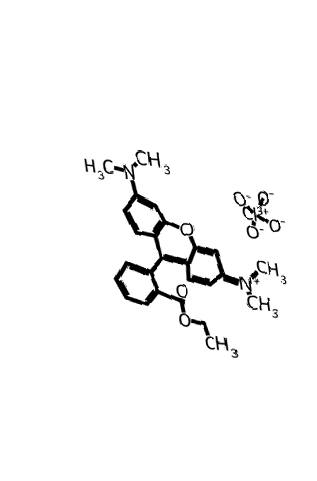 CCOC(=O)c1ccccc1-c1c2ccc(=[N+](C)C)cc-2oc2cc(N(C)C)ccc12.[O-][Cl+3]([O-])([O-])[O-]